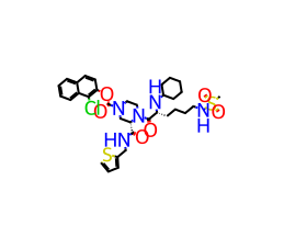 CS(=O)(=O)NCCCC[C@@H](NC1CCCCC1)C(=O)N1CCN(C(=O)Oc2ccc3ccccc3c2Cl)C[C@H]1C(=O)NCc1cccs1